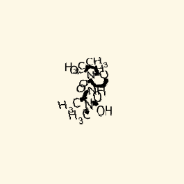 CC(C(=O)N[C@H]1CCO[C@H]2CC(C)(C)[C@@H](C=O)N2C1=O)N(C)C(=O)O